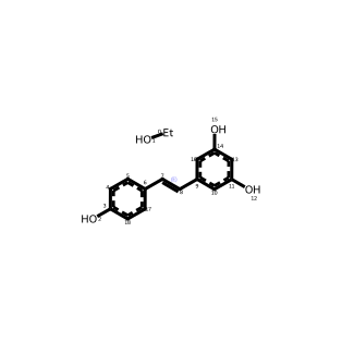 CCO.Oc1ccc(/C=C/c2cc(O)cc(O)c2)cc1